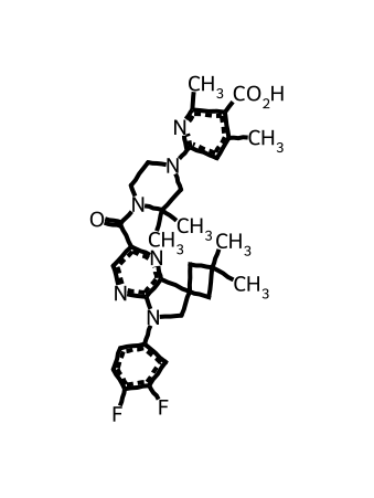 Cc1cc(N2CCN(C(=O)c3cnc4c(n3)C3(CN4c4ccc(F)c(F)c4)CC(C)(C)C3)C(C)(C)C2)nc(C)c1C(=O)O